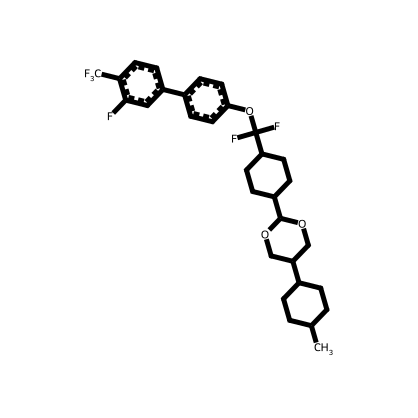 CC1CCC(C2COC(C3CCC(C(F)(F)Oc4ccc(-c5ccc(C(F)(F)F)c(F)c5)cc4)CC3)OC2)CC1